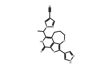 CC(c1[nH]c(=O)c2sc(-c3cn[nH]c3)c3c2c1CCCO3)n1cc(C#N)cn1